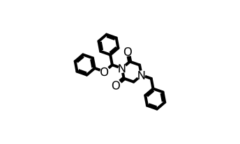 O=C1CN(Cc2ccccc2)CC(=O)N1C(Oc1ccccc1)c1ccccc1